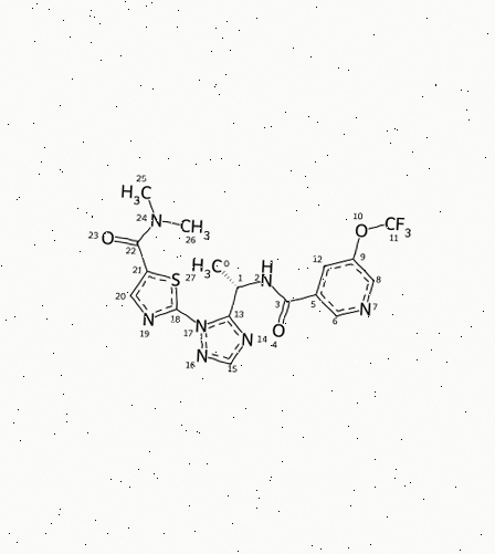 C[C@H](NC(=O)c1cncc(OC(F)(F)F)c1)c1ncnn1-c1ncc(C(=O)N(C)C)s1